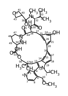 CCn1c(-c2cnccc2COC)c2c3cc(ccc31)-c1cc(O)cc(c1)C[C@H](NC(=O)[C@H](C(C)C)N(C)C(=O)C1COC1)C(=O)N1CCC[C@@](O)(N1)C(=O)OCC(C)(C)C2